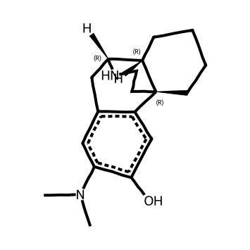 CN(C)c1cc2c(cc1O)[C@@]13CCCC[C@H]1[C@@H](C2)NCC3